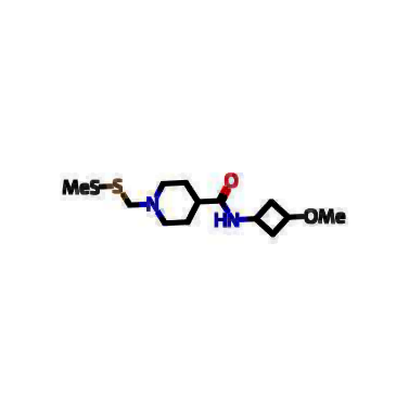 COC1CC(NC(=O)C2CCN(CSSC)CC2)C1